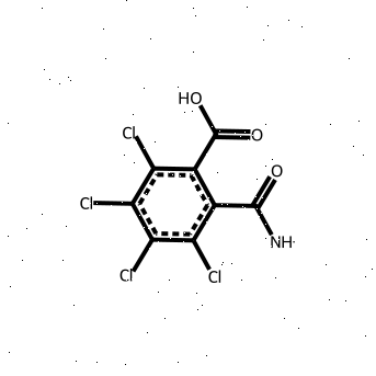 [NH]C(=O)c1c(Cl)c(Cl)c(Cl)c(Cl)c1C(=O)O